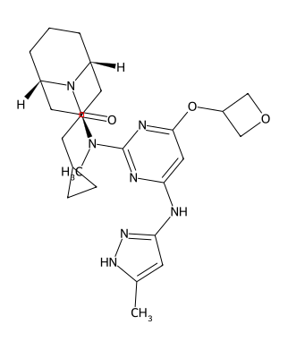 Cc1cc(Nc2cc(OC3COC3)nc(N(C)[C@@H]3C[C@H]4CCC[C@@H](C3)N4C(=O)CC3CC3)n2)n[nH]1